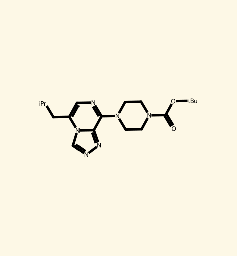 CC(C)Cc1cnc(N2CCN(C(=O)OC(C)(C)C)CC2)c2nncn12